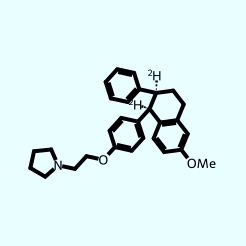 [2H][C@@]1(c2ccc(OCCN3CCCC3)cc2)c2ccc(OC)cc2CC[C@]1([2H])c1ccccc1